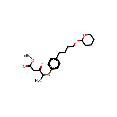 CCCCOC(=O)CC(=O)C(C)Sc1ccc(CCCCOC2CCCCO2)cc1